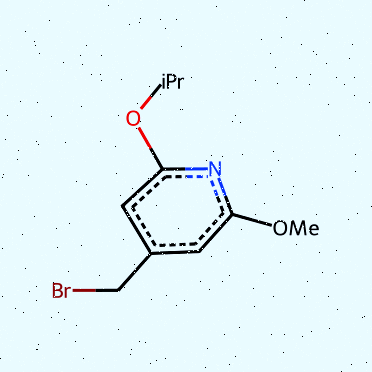 COc1cc(CBr)cc(OC(C)C)n1